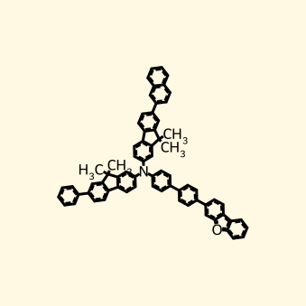 CC1(C)c2cc(-c3ccccc3)ccc2-c2ccc(N(c3ccc(-c4ccc(-c5ccc6c(c5)oc5ccccc56)cc4)cc3)c3ccc4c(c3)C(C)(C)c3cc(-c5ccc6ccccc6c5)ccc3-4)cc21